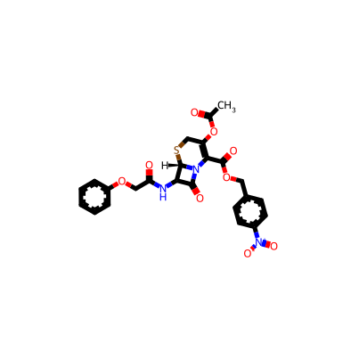 CC(=O)OC1=C(C(=O)OCc2ccc([N+](=O)[O-])cc2)N2C(=O)C(NC(=O)COc3ccccc3)[C@@H]2SC1